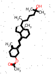 C=C1CC[C@H](OC(C)=O)C/C1=C/C=C1CCC[C@@]2(C)C1CC[C@@H]2[C@H](C)CCCC(C)(C)O